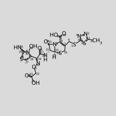 Cc1nnc(SCC2=C(C(=O)O)N3C(=O)[C@@H](NC(=O)C(=NOCC(=O)O)c4csc(=N)n4O)[C@@H]3SC2)s1